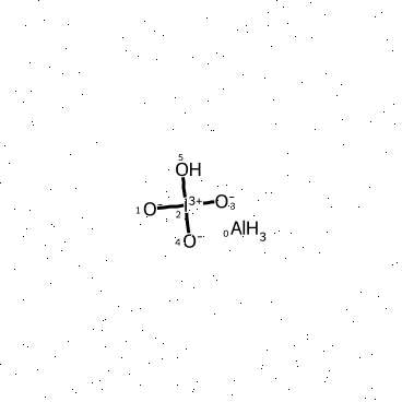 [AlH3].[O-][I+3]([O-])([O-])O